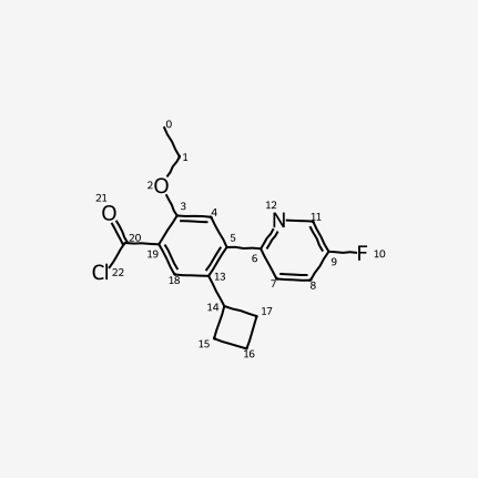 CCOc1cc(-c2ccc(F)cn2)c(C2CCC2)cc1C(=O)Cl